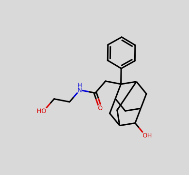 O=C(CC1(c2ccccc2)C2CC3CC1CC(C2)C3O)NCCO